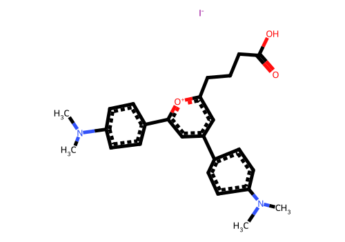 CN(C)c1ccc(-c2cc(CCCC(=O)O)[o+]c(-c3ccc(N(C)C)cc3)c2)cc1.[I-]